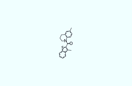 Cc1ccc2c(c1)CCCN2C(=O)c1sc2ccccc2c1C